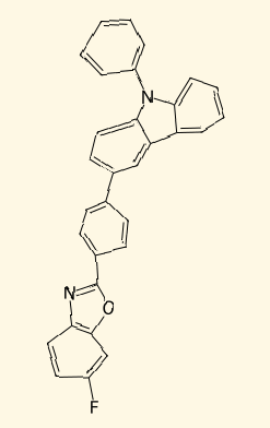 Fc1ccc2nc(-c3ccc(-c4ccc5c(c4)c4ccccc4n5-c4ccccc4)cc3)oc2c1